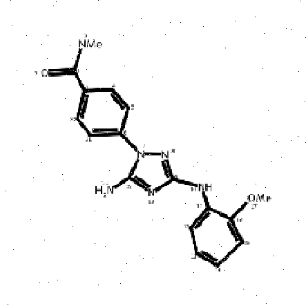 CNC(=O)c1ccc(-n2nc(Nc3ccccc3OC)nc2N)cc1